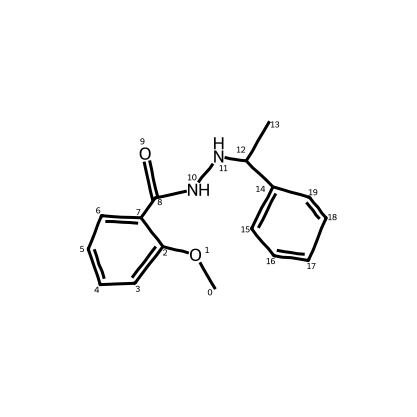 COc1ccccc1C(=O)NNC(C)c1ccccc1